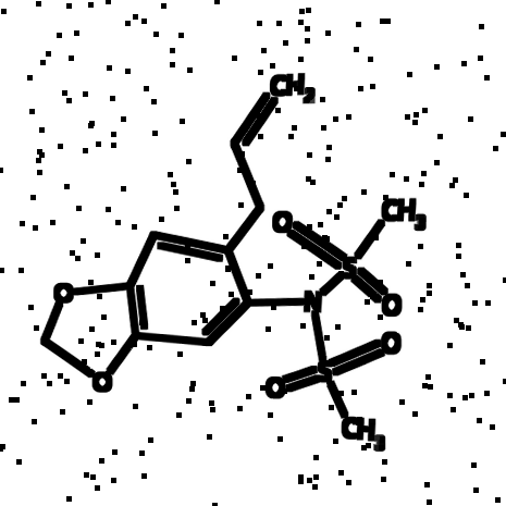 C=CCc1cc2c(cc1N(S(C)(=O)=O)S(C)(=O)=O)OCO2